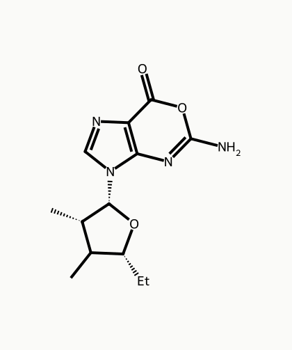 CC[C@H]1O[C@@H](n2cnc3c(=O)oc(N)nc32)[C@@H](C)C1C